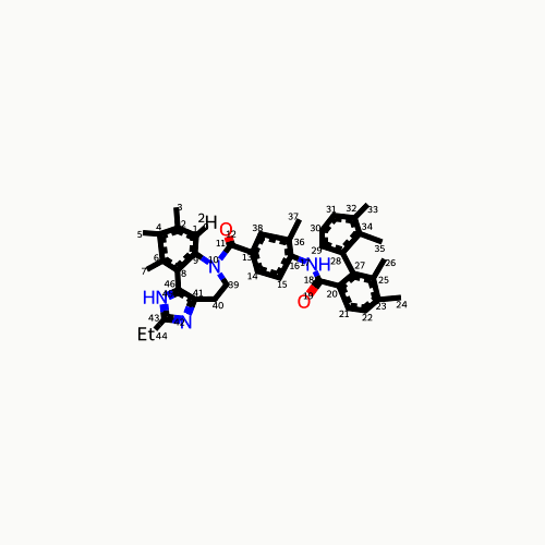 [2H]c1c(C)c(C)c(C)c2c1N(C(=O)c1ccc(NC(=O)c3ccc(C)c(C)c3-c3cccc(C)c3C)c(C)c1)CCc1nc(CC)[nH]c1-2